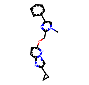 Cn1cc(-c2ccccc2)nc1COc1ccc2nc(C3CC3)cn2n1